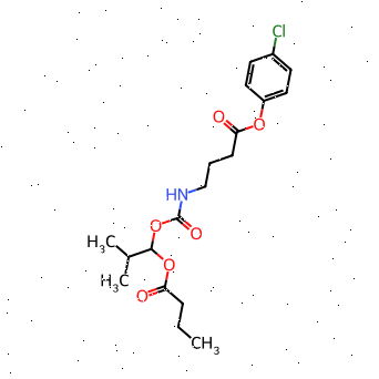 CCCC(=O)OC(OC(=O)NCCCC(=O)Oc1ccc(Cl)cc1)C(C)C